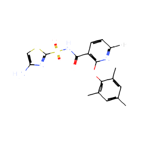 Cc1cc(C)c(Oc2nc(C(C)(C)C)ccc2C(=O)NS(=O)(=O)c2nc(N)cs2)c(C)c1